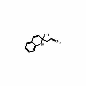 C=CCC1(O)C=Cc2ccccc2N1